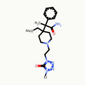 CCn1nnn(CCN2CCC(COC)(C(C)(C(N)=O)c3ccccc3)CC2)c1=O